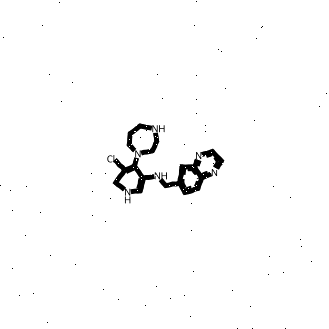 ClC1=C(N2CCCNCC2)C(NCc2ccc3nccnc3c2)=CNC1